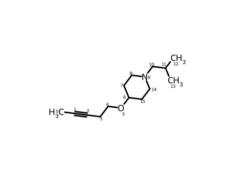 CC#CCCOC1CCN(CC(C)C)CC1